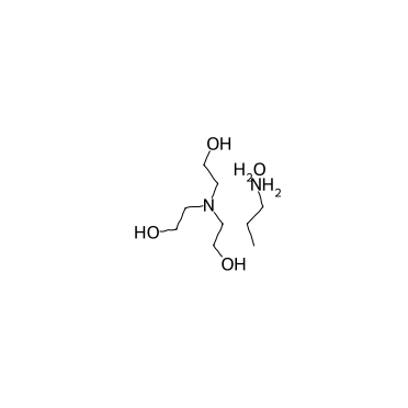 CCCN.O.OCCN(CCO)CCO